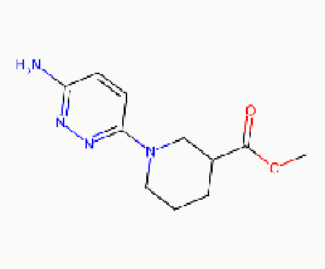 COC(=O)C1CCCN(c2ccc(N)nn2)C1